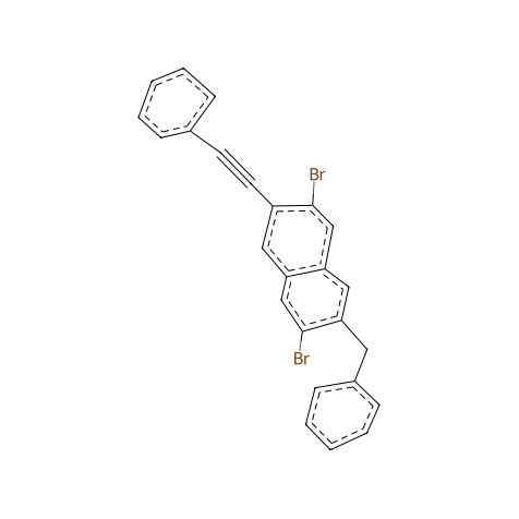 Brc1cc2cc(Cc3ccccc3)c(Br)cc2cc1C#Cc1ccccc1